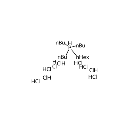 CCCCCC[PH](CCCC)(CCCC)CCCC.Cl.Cl.Cl.Cl.Cl.Cl.Cl.Cl.Cl